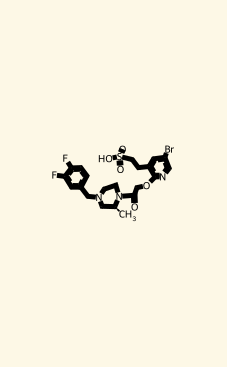 C[C@@H]1CN(Cc2ccc(F)c(F)c2)CCN1C(=O)COc1ncc(Br)cc1CCS(=O)(=O)O